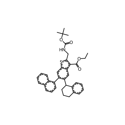 CCOC(=O)c1c(CNC(=O)OC(C)(C)C)sc2cc(-c3cccc4ccccc34)c(C3CCCc4ccccc43)cc12